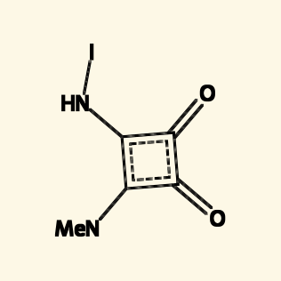 CNc1c(NI)c(=O)c1=O